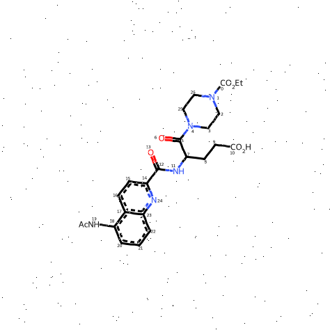 CCOC(=O)N1CCN(C(=O)C(CCC(=O)O)NC(=O)c2ccc3c(NC(C)=O)cccc3n2)CC1